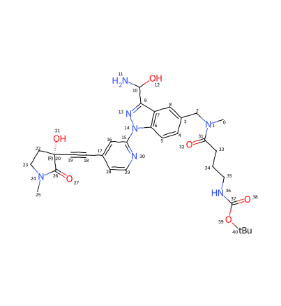 CN(Cc1ccc2c(c1)c(C(N)O)nn2-c1cc(C#C[C@]2(O)CCN(C)C2=O)ccn1)C(=O)CCCNC(=O)OC(C)(C)C